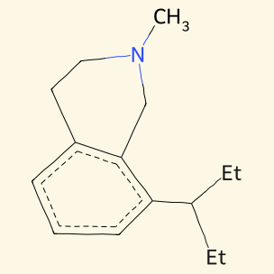 CCC(CC)c1cccc2c1CN(C)CC2